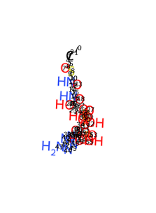 CCC=C=CCC(=O)SCCNC(=O)CCNC(=O)[C@H](O)C(C)(C)COP(=O)(O)OP(=O)(O)OC[C@H]1O[C@@H](n2cnc3c(N)ncnc32)[C@H](O)[C@@H]1OP(=O)(O)O